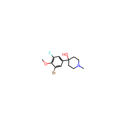 COc1c(F)cc(C2(O)CCN(C)CC2)cc1Br